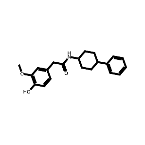 COc1cc(CC(=O)NC2CCC(c3ccccc3)CC2)ccc1O